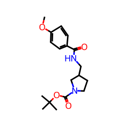 COc1ccc(C(=O)NCC2CCN(C(=O)OC(C)(C)C)C2)cc1